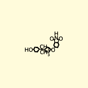 CC(C)(c1ccc(O)cc1)c1ccc(Oc2ccc3c(c2)C(=O)NC3=O)cc1